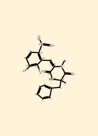 CN1C(=O)C(C)(Cc2ccccc2)NC(=O)/C1=C\c1c([N+](=O)[O-])ccc(F)c1F